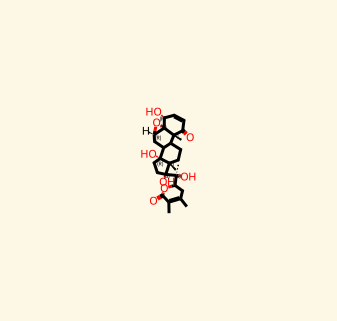 CC1=C(C)C(=O)OC([C@](C)(O)[C@]2(O)CC[C@@]3(O)C4C[C@H]5O[C@]56[C@H](O)C=CC(=O)[C@]6(C)C4CC[C@]23C)C1